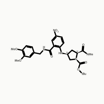 CNC(=O)[C@@H]1C[C@H](Nc2ccc([N+](=O)[O-])cc2C(=O)NCc2ccc(OC)c(OC)c2)CN1C(=O)OC(C)(C)C